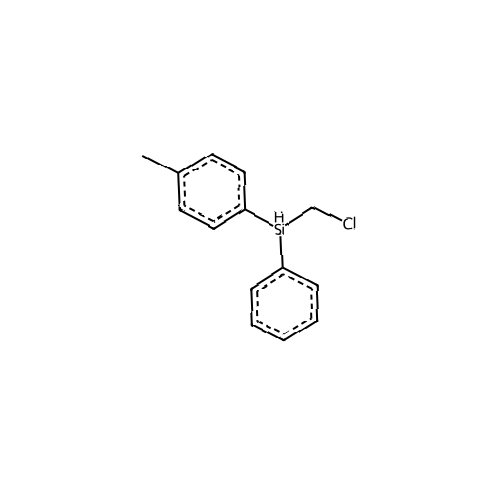 Cc1ccc([SiH](CCl)c2ccccc2)cc1